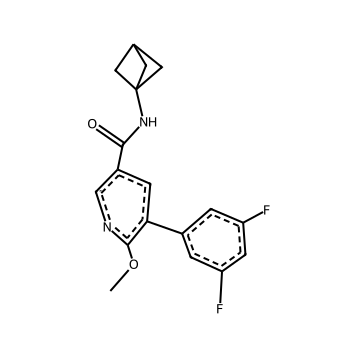 COc1ncc(C(=O)NC23CC(C2)C3)cc1-c1cc(F)cc(F)c1